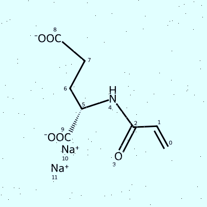 C=CC(=O)N[C@@H](CCC(=O)[O-])C(=O)[O-].[Na+].[Na+]